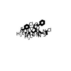 COC1C(n2cc(-c3nc(Cl)cs3)nn2)[C@H]2OC(c3ccccc3)OCC2O[C@H]1c1nnc(C)n1-c1cc(Cl)ccc1C(F)(F)F